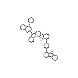 c1ccc(-c2nc(-n3c4ccccc4c4c5oc6c(-c7ccc(-c8cccc9c8oc8ccccc89)cc7)cccc6c5ccc43)nc3ccccc23)cc1